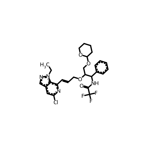 CCn1ncc2cc(Cl)nc(C=CCOC(COC3CCCCO3)C(NC(=O)C(F)(F)F)c3ccccc3)c21